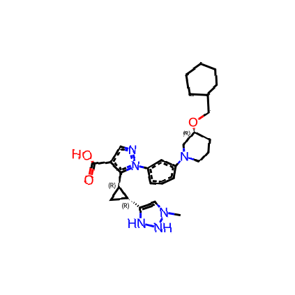 CN1C=C([C@@H]2C[C@H]2c2c(C(=O)O)cnn2-c2cccc(N3CCC[C@@H](OCC4CCCCC4)C3)c2)NN1